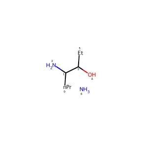 CCCC(N)C(O)CC.N